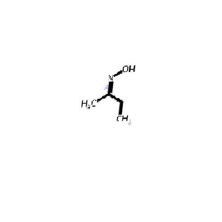 C[CH]/C(C)=N\O